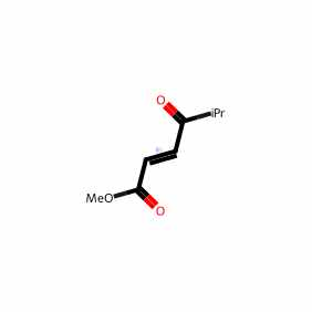 COC(=O)/C=C/C(=O)C(C)C